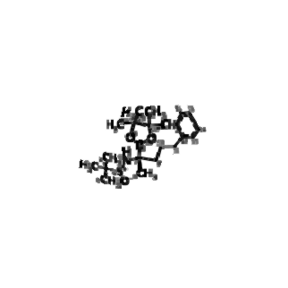 CC(C)(C)[S@@+]([O-])N[C@@](C)(CCCc1ccccc1)B1OC(C)(C)C(C)(C)O1